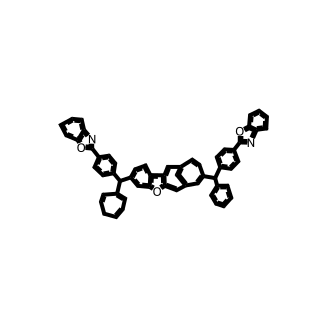 C1=C2C=C(C(c3ccccc3)c3ccc(-c4nc5ccccc5o4)cc3)C=CC=1C=c1c(oc3cc(C(C4=CC=CCC=C4)c4ccc(-c5nc6ccccc6o5)cc4)ccc13)=C2